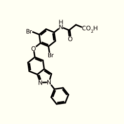 O=C(O)CC(=O)Nc1cc(Br)c(Oc2ccc3nn(-c4ccccc4)cc3c2)c(Br)c1